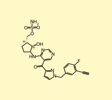 C#Cc1cc(Cn2ccc(C(=O)c3cncnc3NC3CC[C@H](COS(N)(=O)=O)[C@H]3O)n2)ccc1F